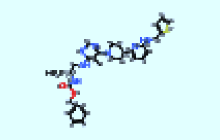 Cc1c(NC[C@H](NC(=O)OCc2ccccc2)C(=O)O)ncnc1N1CCC(c2cccc(NCc3cccs3)n2)CC1